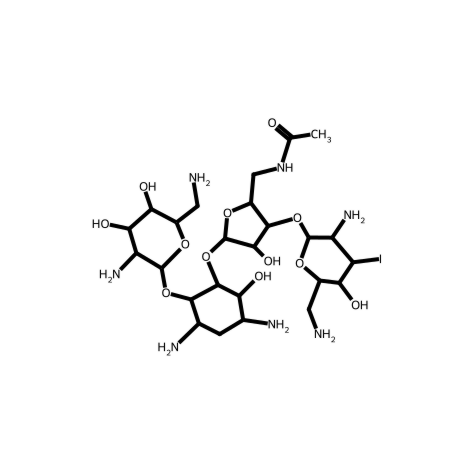 CC(=O)NCC1OC(OC2C(O)C(N)CC(N)C2OC2OC(CN)C(O)C(O)C2N)C(O)C1OC1OC(CN)C(O)C(I)C1N